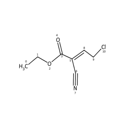 CCOC(=O)C(C#N)=CCCl